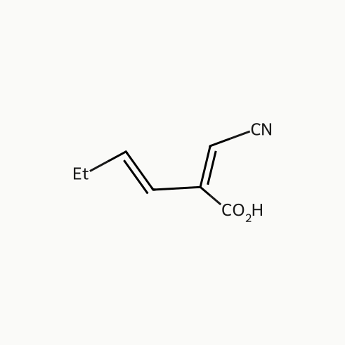 CCC=CC(=CC#N)C(=O)O